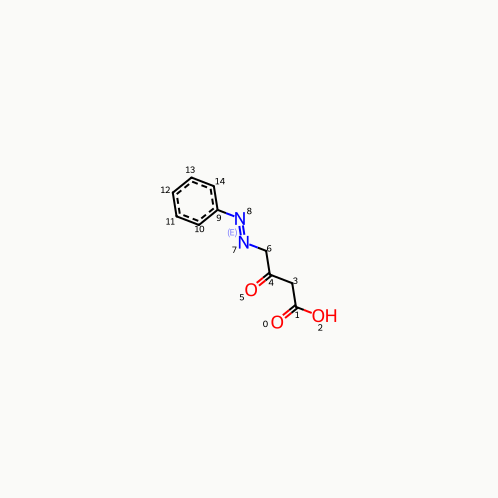 O=C(O)CC(=O)C/N=N/c1ccccc1